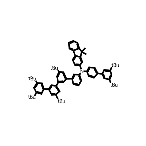 CC(C)(C)c1cc(-c2cccc(N(c3ccc(-c4cc(C(C)(C)C)cc(C(C)(C)C)c4)cc3)c3ccc4c(c3)C(C)(C)c3ccccc3-4)c2)cc(-c2cc(-c3cc(C(C)(C)C)cc(C(C)(C)C)c3)cc(C(C)(C)C)c2)c1